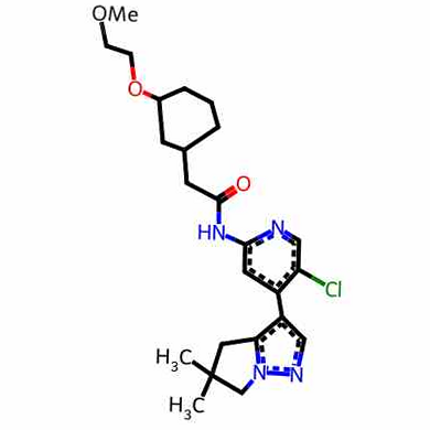 COCCOC1CCCC(CC(=O)Nc2cc(-c3cnn4c3CC(C)(C)C4)c(Cl)cn2)C1